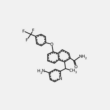 CC(c1cc(N)ccn1)c1c(C(N)=O)ccc2c(Oc3ccc(C(F)(F)F)cc3)cccc12